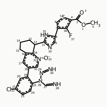 COC(=O)c1scc(-c2cnc(C3CCCc4cc(-c5cc(Cl)ccc5N(C=N)N=N)c[n+]([O-])c43)[nH]2)c1F